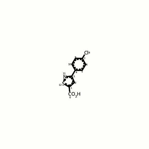 O=C(O)c1cc(-c2ccc(Cl)cc2)ns1